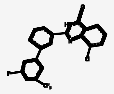 O=c1[nH]c(-c2cccc(-c3cc(F)cc(C(F)(F)F)c3)c2)nc2c(Cl)cccc12